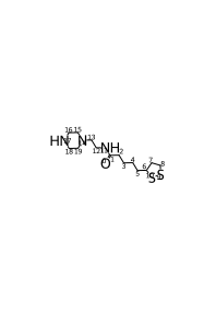 O=C(CCCCC1CCSS1)NCCN1CCNCC1